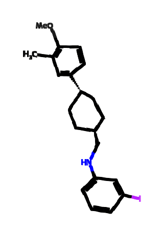 COc1ccc([C@H]2CC[C@H](CNc3cccc(I)c3)CC2)cc1C